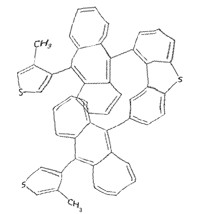 Cc1cscc1-c1c2ccccc2c(-c2ccc3sc4cccc(-c5c6ccccc6c(-c6cscc6C)c6ccccc56)c4c3c2)c2ccccc12